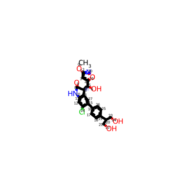 COc1cc(/C(O)=C2\C(=O)Nc3cc(Cl)c(-c4ccc(C(CO)CO)cc4)cc32)on1